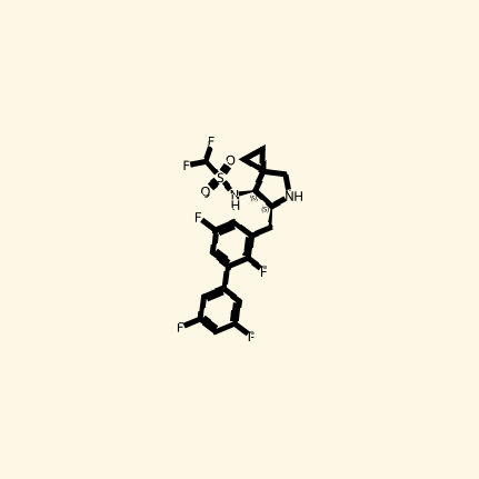 O=S(=O)(N[C@@H]1[C@H](Cc2cc(F)cc(-c3cc(F)cc(F)c3)c2F)NCC12CC2)C(F)F